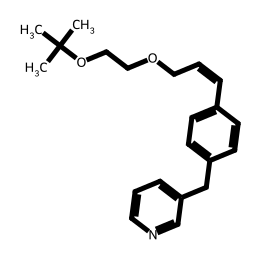 CC(C)(C)OCCOC/C=C\c1ccc(Cc2cccnc2)cc1